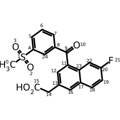 CS(=O)(=O)c1cccc(C(=O)c2cc(CC(=O)O)cc3ccc(F)cc23)c1